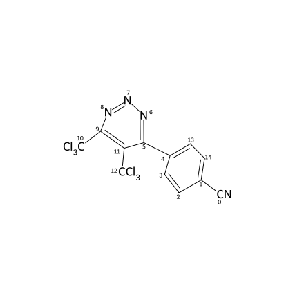 N#Cc1ccc(-c2nnnc(C(Cl)(Cl)Cl)c2C(Cl)(Cl)Cl)cc1